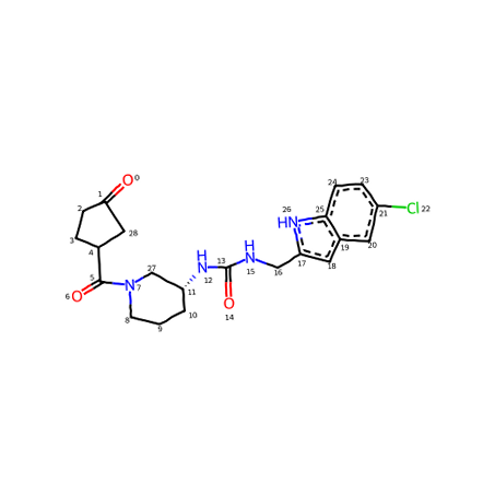 O=C1CCC(C(=O)N2CCC[C@@H](NC(=O)NCc3cc4cc(Cl)ccc4[nH]3)C2)C1